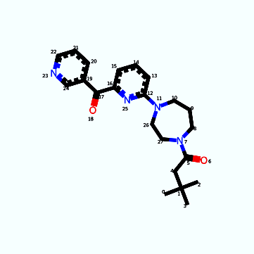 CC(C)(C)CC(=O)N1CCCN(c2cccc(C(=O)c3cccnc3)n2)CC1